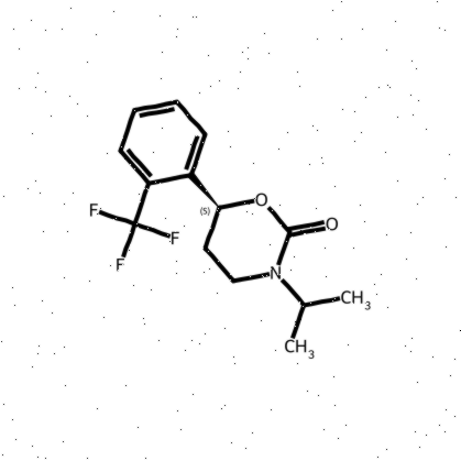 CC(C)N1CC[C@@H](c2ccccc2C(F)(F)F)OC1=O